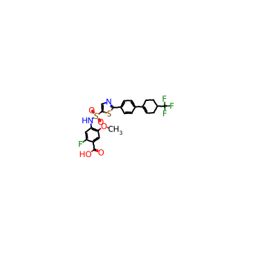 COc1cc(C(=O)O)c(F)cc1NS(=O)(=O)c1cnc(-c2ccc(C3=CCC(C(F)(F)F)CC3)cc2)s1